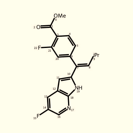 COC(=O)c1ccc(C(=CC(C)C)c2cc3cc(F)cnc3[nH]2)cc1F